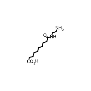 NCCNC(=O)CCCCCCCCC(=O)O